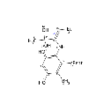 Bc1c(O)cc(O)c(N/C(=C\CC)C(C)(O)O)c1CCCCC